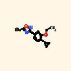 CC(C)(C)c1nc(-c2ccc(C3CC3)c(OCC(F)(F)F)c2)no1